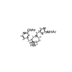 Br.COc1cc(CC2CN(Cc3cnc(NC(C)=O)s3)CCCN2)ccn1